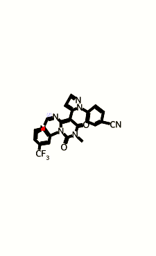 CN(C)/C=N\c1c(-c2ccnn2-c2ccc(C#N)cc2)c(=O)n(C)c(=O)n1-c1cccc(C(F)(F)F)c1